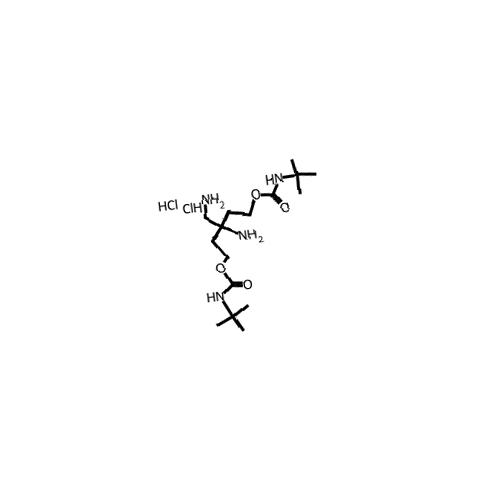 CC(C)(C)NC(=O)OCCC(N)(CN)CCOC(=O)NC(C)(C)C.Cl.Cl